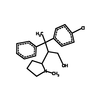 CN1CCCC1C(CO)C(C)(c1ccccc1)c1ccc(Cl)cc1